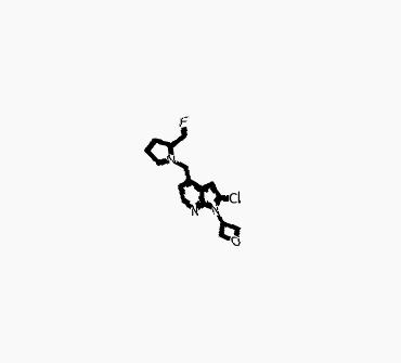 FCC1CCCN1Cc1ccnc2c1cc(Cl)n2C1COC1